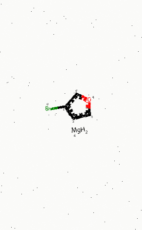 Brc1ccoc1.[MgH2]